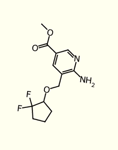 COC(=O)c1cnc(N)c(COC2CCCC2(F)F)c1